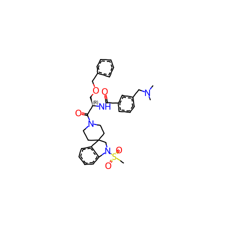 CN(C)Cc1cccc(C(=O)N[C@H](COCc2ccccc2)C(=O)N2CCC3(CC2)CN(S(C)(=O)=O)c2ccccc23)c1